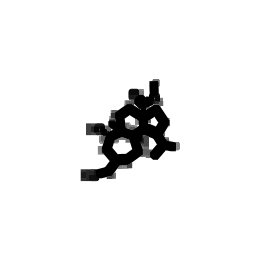 COC(=O)[C@]12CCC(C(C)C)=C1[C@H]1CC=C(CO)C[C@H](O)[C@]1(C)CC2